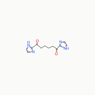 O=C(CCCCC(=O)c1ncc[nH]1)c1ncc[nH]1